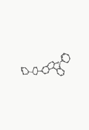 c1ccc(-c2ccc(-c3ccc4c(ccc5c4c4ccccc4n5-c4ccccc4)c3)cc2)cc1